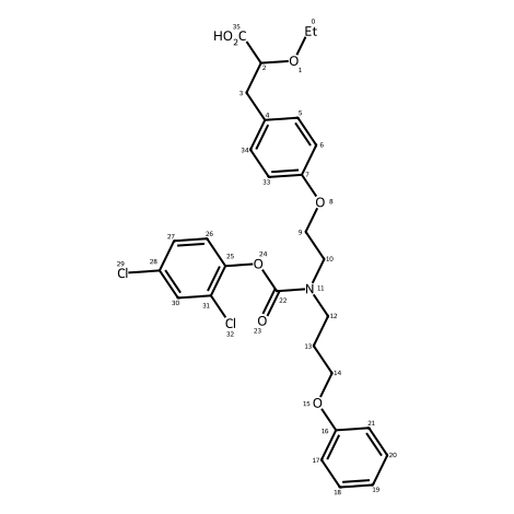 CCOC(Cc1ccc(OCCN(CCCOc2ccccc2)C(=O)Oc2ccc(Cl)cc2Cl)cc1)C(=O)O